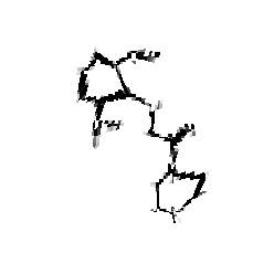 COc1cccc(OC)c1OCC(=O)N1CCNCC1